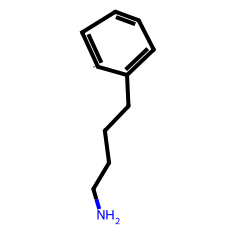 NCCCCc1[c]cccc1